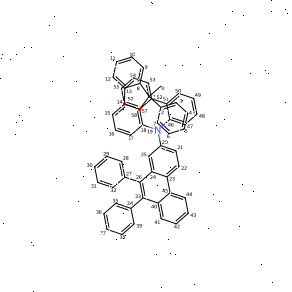 CC1(c2ccccc2)c2ccccc2-c2cccc(N(c3ccc4c(c3)c(-c3ccccc3)c(-c3ccccc3)c3ccccc34)c3ccccc3-c3ccccc3)c21